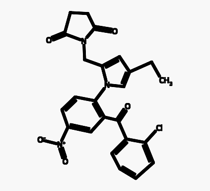 CCc1cc(CN2C(=O)CCC2=O)n(-c2ccc([N+](=O)[O-])cc2C(=O)c2ccccc2Cl)c1